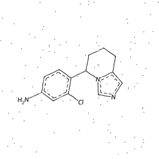 Nc1ccc(C2CCCc3cncn32)c(Cl)c1